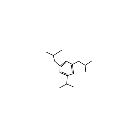 CC(C)Cc1cc(CC(C)C)cc(C(C)C)c1